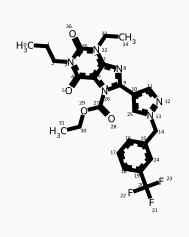 CCCn1c(=O)c2c(nc(-c3cnn(Cc4cccc(C(F)(F)F)c4)c3)n2C(=O)OCC)n(CC)c1=O